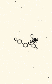 COc1ccc(-c2cccc(Oc3ccc(F)cc3S(=O)(=O)NC=O)c2)cc1